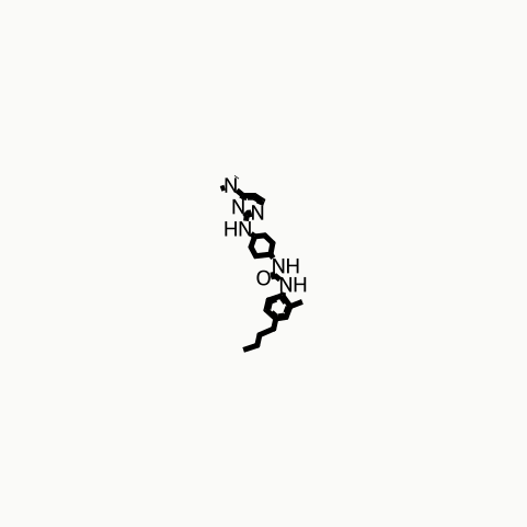 CCCCc1ccc(NC(=O)NC2CCC(Nc3nccc(N(C)C)n3)CC2)c(C)c1